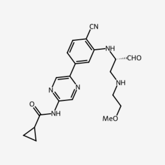 COCCNC[C@@H](C=O)Nc1cc(-c2cnc(NC(=O)C3CC3)cn2)ccc1C#N